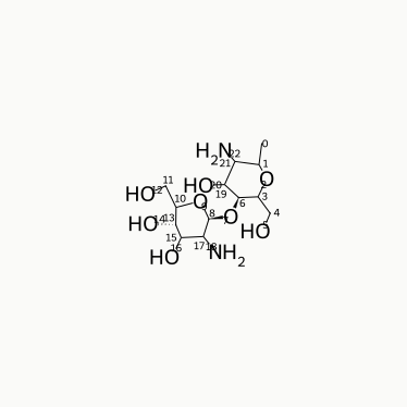 CC1OC(CO)[C@@H](O[C@@H]2OC(CO)[C@@H](O)C(O)C2N)C(O)C1N